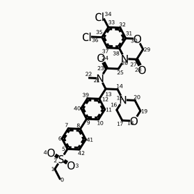 CCS(=O)(=O)c1ccc(-c2ccc(C(CN3CCOCC3)N(C)C(=O)CN3C(=O)COc4cc(Cl)c(Cl)cc43)cc2)cc1